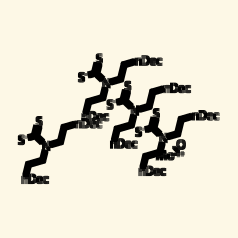 CCCCCCCCCCCCN(CCCCCCCCCCCC)C(=S)[S-].CCCCCCCCCCCCN(CCCCCCCCCCCC)C(=S)[S-].CCCCCCCCCCCCN(CCCCCCCCCCCC)C(=S)[S-].CCCCCCCCCCCCN(CCCCCCCCCCCC)C(=S)[S-].[O]=[Mo+4]